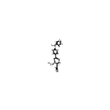 COc1cc(-c2cnc(Nc3cncs3)nc2)ccc1C#N